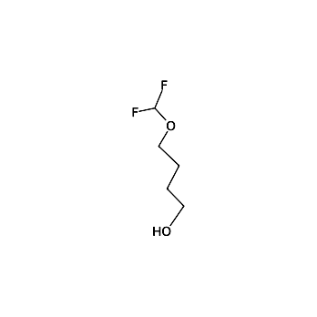 OCCCCOC(F)F